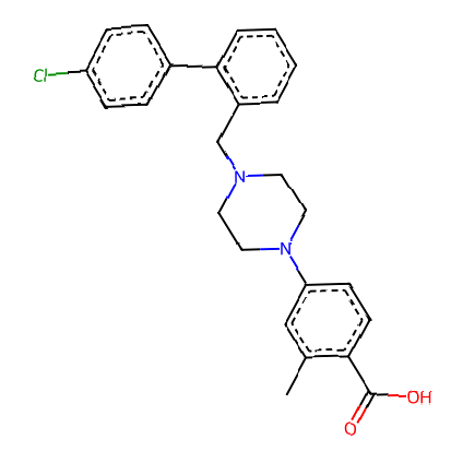 Cc1cc(N2CCN(Cc3ccccc3-c3ccc(Cl)cc3)CC2)ccc1C(=O)O